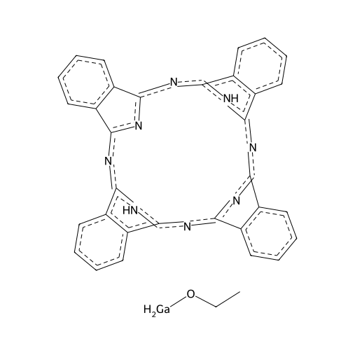 CC[O][GaH2].c1ccc2c(c1)-c1nc-2nc2[nH]c(nc3nc(nc4[nH]c(n1)c1ccccc41)-c1ccccc1-3)c1ccccc21